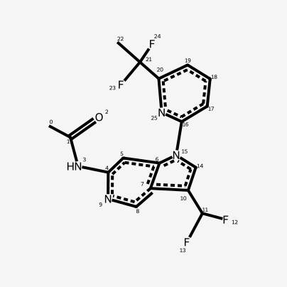 CC(=O)Nc1cc2c(cn1)c(C(F)F)cn2-c1cccc(C(C)(F)F)n1